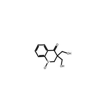 O=C1c2ccccc2[S+]([O-])CC1(CO)CO